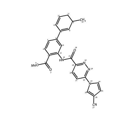 COC(=O)c1ccc(C2=CC(C)CC=C2)cc1NC(=O)c1ccc(-n2ccc(C#N)c2)nn1